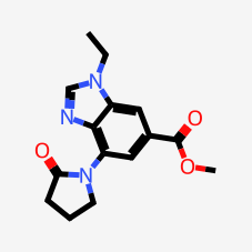 CCn1cnc2c(N3CCCC3=O)cc(C(=O)OC)cc21